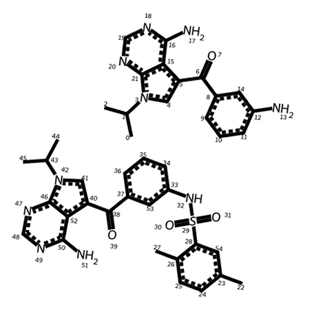 CC(C)n1cc(C(=O)c2cccc(N)c2)c2c(N)ncnc21.Cc1ccc(C)c(S(=O)(=O)Nc2cccc(C(=O)c3cn(C(C)C)c4ncnc(N)c34)c2)c1